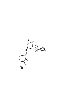 C=C1[C@H](C)C/C(=C/C=C2\CCC[C@@]3(C)C2CCC3[C@H](C)CC)C[C@H]1O[Si](C)(C)C(C)(C)C